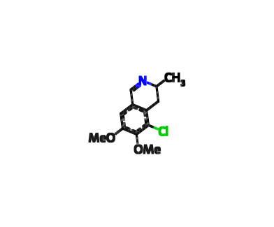 COc1cc2c(c(Cl)c1OC)CC(C)N=C2